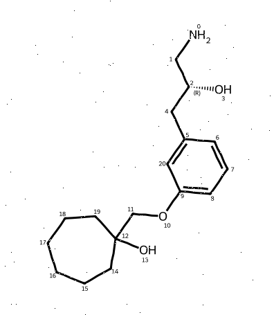 NC[C@H](O)Cc1cccc(OCC2(O)CCCCCC2)c1